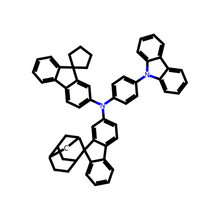 c1ccc2c(c1)-c1ccc(N(c3ccc(-n4c5ccccc5c5ccccc54)cc3)c3ccc4c(c3)C3(c5ccccc5-4)C4CCC5CC3CC5C4)cc1C21CCCC1